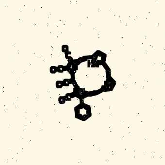 O=C=C1C(=C=O)C2=NC1=Cc1ccc([nH]1)C=C1C=CC(=N1)C=C1NC(C2=C=O)C(=C=O)C1c1ccccc1